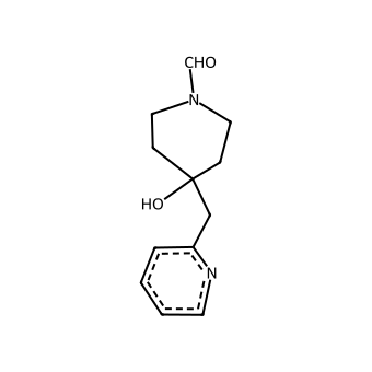 O=CN1CCC(O)(Cc2ccccn2)CC1